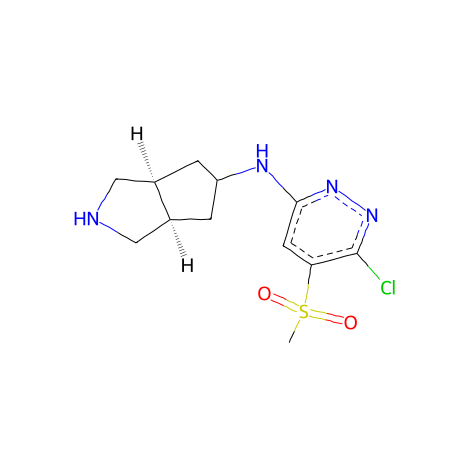 CS(=O)(=O)c1cc(NC2C[C@H]3CNC[C@H]3C2)nnc1Cl